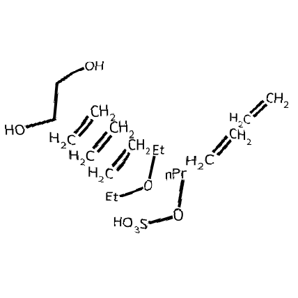 C=C.C=C.C=C.C=C.C=C.CCCOS(=O)(=O)O.CCOCC.OCCO